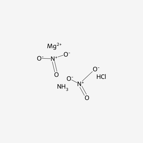 Cl.N.O=[N+]([O-])[O-].O=[N+]([O-])[O-].[Mg+2]